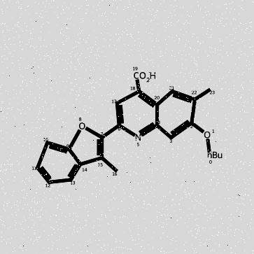 CCCCOc1cc2nc(-c3oc4ccccc4c3C)cc(C(=O)O)c2cc1C